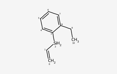 C=C[SiH2]c1ccccc1CC